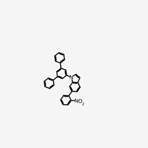 O=[N+]([O-])c1ccccc1-c1ccc2ccn(-c3cc(-c4ccccc4)cc(-c4ccccc4)c3)c2c1